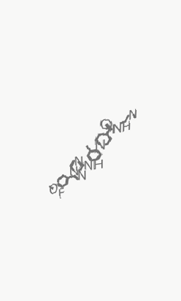 COc1ccc(-c2cnc3c(Nc4ccc(N5CCC(C(=O)NCCCN(C)C)CC5)c(C)c4)nccn23)cc1F